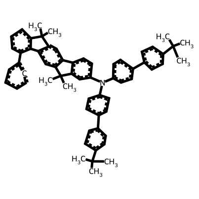 CC(C)(C)c1ccc(-c2ccc(N(c3ccc(-c4ccc(C(C)(C)C)cc4)cc3)c3ccc4c(c3)C(C)(C)c3cc5c(cc3-4)C(C)(C)c3cccc(-c4ccccc4)c3-5)cc2)cc1